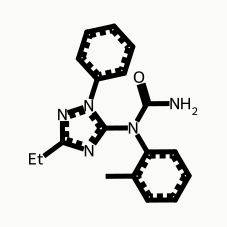 CCc1nc(N(C(N)=O)c2ccccc2C)n(-c2ccccc2)n1